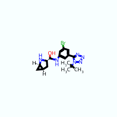 CC(C)(C)n1nnnc1-c1cc(Br)cc(NC(O)[C@@H]2C[C@H]3C[C@H]3N2)c1